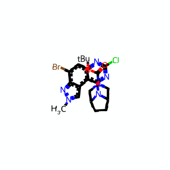 Cn1cc2c(n1)c(Br)cc1nc(Cl)nc(N3C4CCC3CN(C(=O)OC(C)(C)C)C4)c12